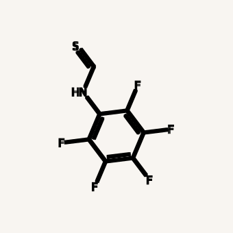 Fc1c(F)c(F)c(NC=S)c(F)c1F